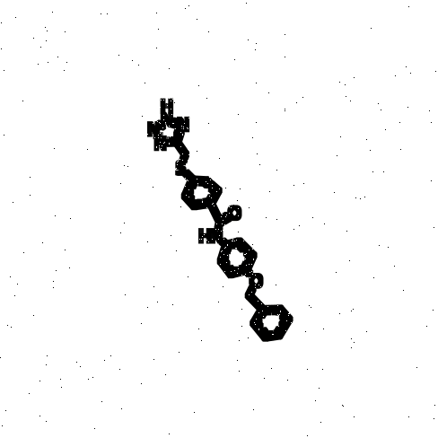 O=C(Nc1ccc(OCc2ccccc2)cc1)c1ccc(SCc2nn[nH]n2)cc1